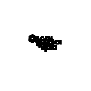 Cc1c([C@@](N)(c2ncc(-c3ccccc3)o2)[C@H](C)O)ccc(C#N)c1Cl